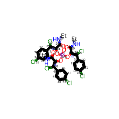 CCNC(=O)/C(OP(=O)(O/C(C(=O)NCC)=C(/Cl)c1ccc(Cl)cc1)O/C(C(=O)NCC)=C(/Cl)c1ccc(Cl)cc1)=C(\Cl)c1ccc(Cl)cc1